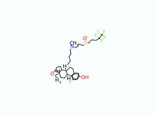 CN(CCCCC[C@@H]1Cc2cc(O)cc(F)c2[C@H]2CC[C@]3(C)C(=O)CC[C@H]3[C@H]12)CCC[S+]([O-])CCCC(F)(F)C(F)(F)F